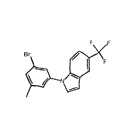 Cc1cc(Br)cc(-n2ccc3cc(C(F)(F)F)ccc32)c1